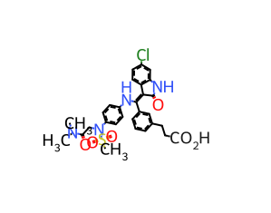 CN(C)C(=O)CN(c1ccc(NC(=C2C(=O)Nc3cc(Cl)ccc32)c2cccc(CCC(=O)O)c2)cc1)S(C)(=O)=O